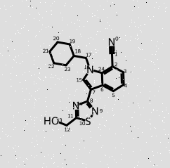 N#Cc1cccc2c(-c3nsc(CO)n3)cn(CC3CCCCC3)c12